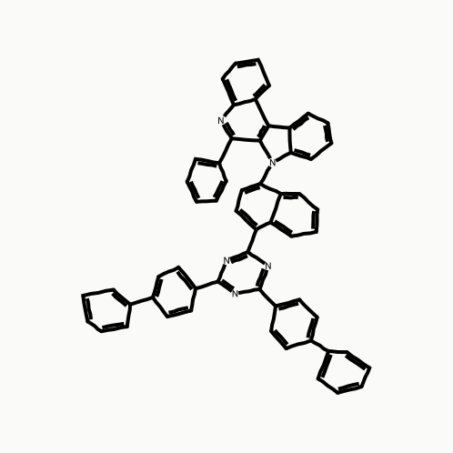 c1ccc(-c2ccc(-c3nc(-c4ccc(-c5ccccc5)cc4)nc(-c4ccc(-n5c6ccccc6c6c7ccccc7nc(-c7ccccc7)c65)c5ccccc45)n3)cc2)cc1